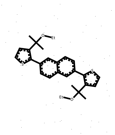 CCOC(C)(C)c1ccsc1-c1ccc2cc(-c3sccc3C(C)(C)OCC)ccc2c1